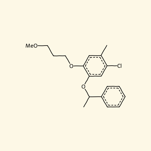 COCCCOc1cc(C)c(Cl)cc1OC(C)c1ccccc1